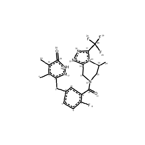 Cc1c(Cc2ccc(F)c(C(=O)N3Cc4nnc(C(F)(F)F)n4C(C)C3)c2)n[nH]c(=O)c1C